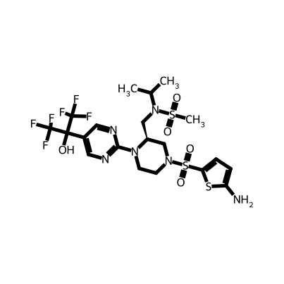 CC(C)N(C[C@H]1CN(S(=O)(=O)c2ccc(N)s2)CCN1c1ncc(C(O)(C(F)(F)F)C(F)(F)F)cn1)S(C)(=O)=O